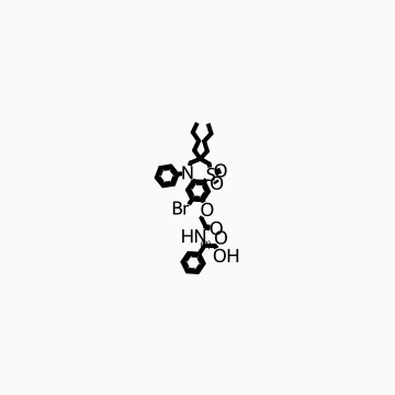 CCCCC1(CCCC)CN(c2ccccc2)c2cc(Br)c(OCC(=O)N[C@@H](C(=O)O)c3ccccc3)cc2S(=O)(=O)C1